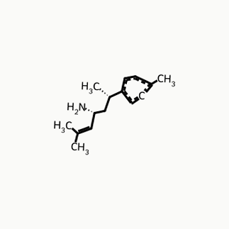 CC(C)=C[C@H](N)C[C@H](C)c1ccc(C)cc1